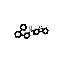 c1ccc(-c2ccccc2-c2cccc(Nc3ccc4c(c3)oc3ccccc34)c2)cc1